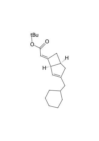 CC(C)(C)OC(=O)C=C1C[C@H]2CC(CC3CCCCC3)=C[C@@H]12